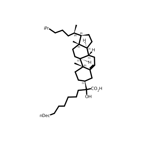 CCCCCCCCCCCCCCCCC(O)(C(=O)O)[C@H]1CC[C@@]2(C)C(=CC[C@H]3[C@@H]4CC[C@H]([C@H](C)CCCC(C)C)[C@@]4(C)CC[C@@H]32)C1